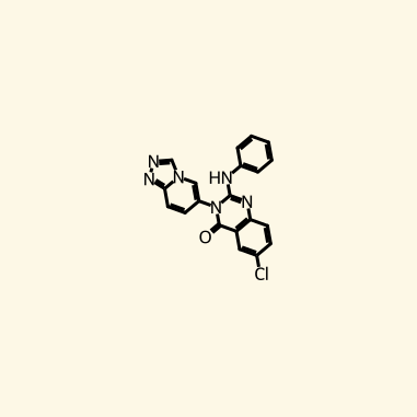 O=c1c2cc(Cl)ccc2nc(Nc2ccccc2)n1-c1ccc2nncn2c1